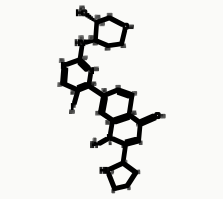 CC(C)n1c(C2CCCN2)cc(=O)c2ccc(-c3nc(N[C@@H]4CCOC[C@H]4O)ncc3F)cc21